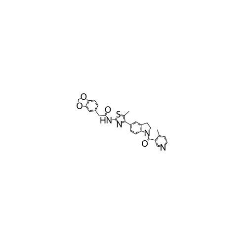 Cc1ccncc1C(=O)N1CCc2cc(-c3nc(NC(=O)Cc4ccc5c(c4)OCO5)sc3C)ccc21